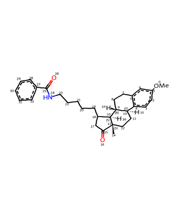 COc1ccc2c(c1)CC[C@@H]1[C@@H]2CC[C@]2(C)C(=O)CC(CCCCCNC(=O)c3ccccc3)[C@@H]12